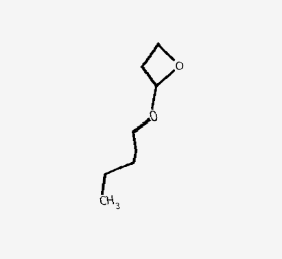 CCCCOC1CCO1